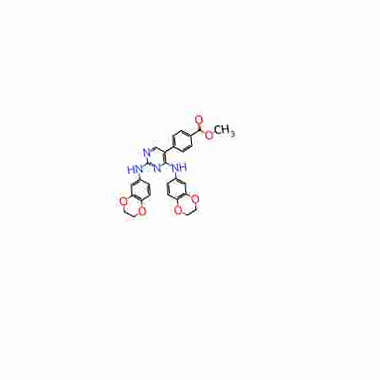 COC(=O)c1ccc(-c2cnc(Nc3ccc4c(c3)OCCO4)nc2Nc2ccc3c(c2)OCCO3)cc1